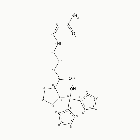 NC(=O)/C=C\NCCCC(=O)N1CCC[C@H]1C(O)(c1cccs1)c1cccs1